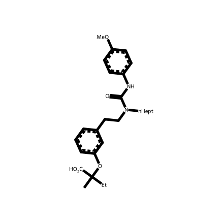 CCCCCCCN(CCc1cccc(OC(C)(CC)C(=O)O)c1)C(=O)Nc1ccc(OC)cc1